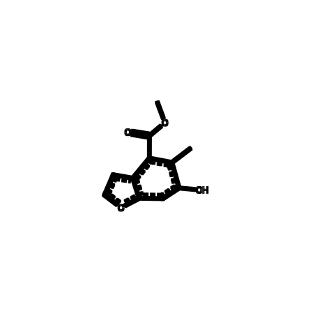 COC(=O)c1c(C)c(O)cc2occc12